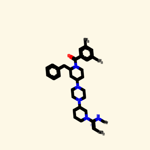 CC(C)N/C(=C\[N+](=O)[O-])N1CCCC(N2CCN(C3CCN(C(=O)c4cc(C(F)(F)F)cc(C(F)(F)F)c4)C(Cc4ccccc4)C3)CC2)C1